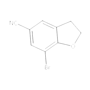 N#Cc1cc(Br)c2c(c1)CCO2